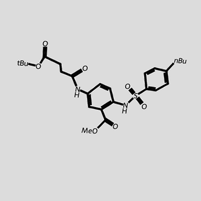 CCCCc1ccc(S(=O)(=O)Nc2ccc(NC(=O)CCC(=O)OC(C)(C)C)cc2C(=O)OC)cc1